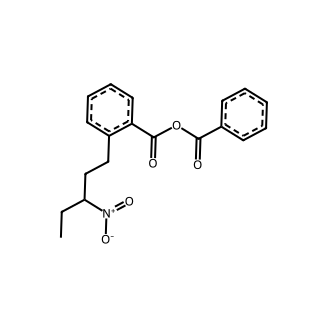 CCC(CCc1ccccc1C(=O)OC(=O)c1ccccc1)[N+](=O)[O-]